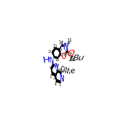 COc1nccc2ccc(N[C@H]3CC[C@H](CN(C)C(=O)OC(C)(C)C)CC3)nc12